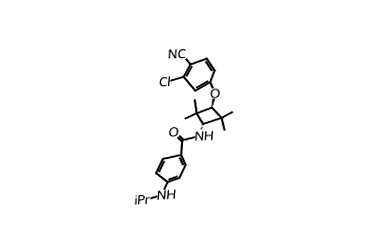 CC(C)Nc1ccc(C(=O)N[C@H]2C(C)(C)[C@H](Oc3ccc(C#N)c(Cl)c3)C2(C)C)cc1